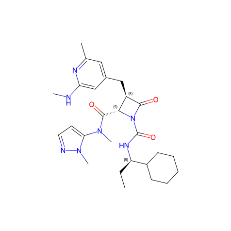 CC[C@@H](NC(=O)N1C(=O)[C@H](Cc2cc(C)nc(NC)c2)[C@H]1C(=O)N(C)c1ccnn1C)C1CCCCC1